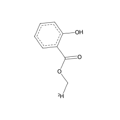 [2H]COC(=O)c1ccccc1O